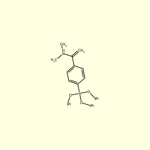 C=C(c1ccc([Si](OC(C)C)(OC(C)C)OC(C)C)cc1)[SiH](C)C